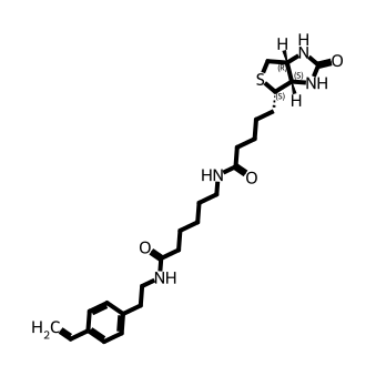 C=Cc1ccc(CCNC(=O)CCCCCNC(=O)CCCC[C@@H]2SC[C@@H]3NC(=O)N[C@@H]32)cc1